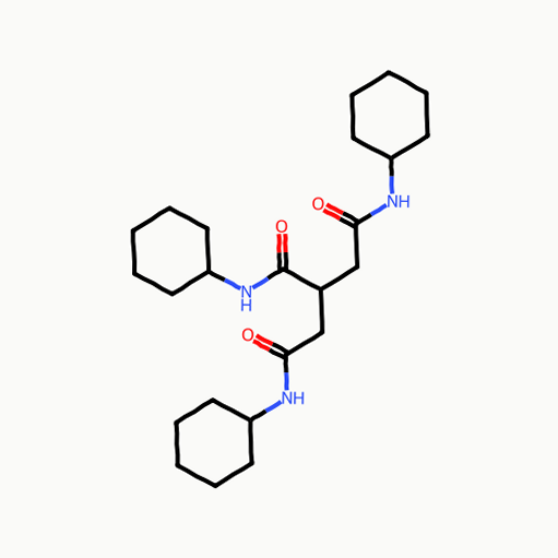 O=C(CC(CC(=O)NC1CCCCC1)C(=O)NC1CCCCC1)NC1CCCCC1